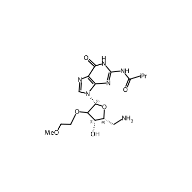 COCCOC1[C@@H](O)[C@@H](CN)O[C@H]1n1cnc2c(=O)[nH]c(NC(=O)C(C)C)nc21